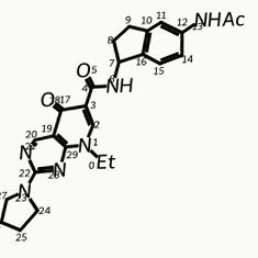 CCn1cc(C(=O)NC2CCc3cc(NC(C)=O)ccc32)c(=O)c2cnc(N3CCCC3)nc21